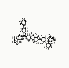 CC1(C)c2cc(-c3ccc4c(c3)-c3ccccc3C43C4CC5CC(C4)CC3C5)ccc2-c2ccc(N(c3ccc(-c4ccccc4)cc3)c3ccc([Si](C)(C)C)cc3)cc21